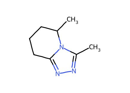 Cc1nnc2n1C(C)CCC2